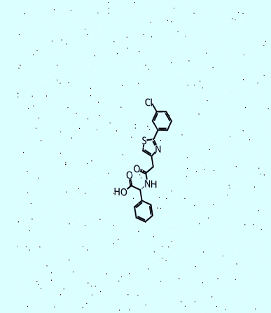 O=C(Cc1csc(-c2cccc(Cl)c2)n1)N[C@@H](C(=O)O)c1ccccc1